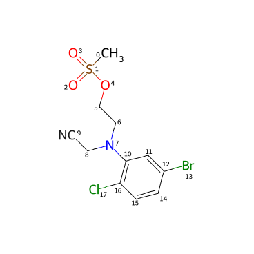 CS(=O)(=O)OCCN(CC#N)c1cc(Br)ccc1Cl